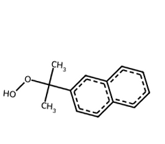 CC(C)(OO)c1ccc2ccccc2c1